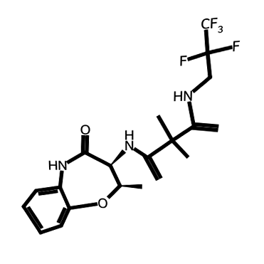 C=C(NCC(F)(F)C(F)(F)F)C(C)(C)C(=C)N[C@@H]1C(=O)Nc2ccccc2O[C@@H]1C